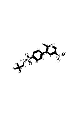 Cc1ncc([N+](=O)[O-])cc1-c1ccc(S(=O)(=O)NCC(C)(C)C)cc1